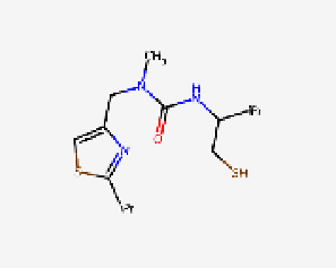 CC(C)c1nc(CN(C)C(=O)NC(CS)C(C)C)cs1